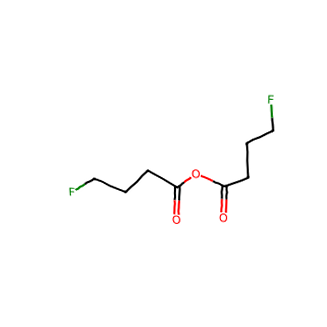 O=C(CCCF)OC(=O)CCCF